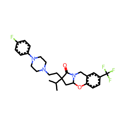 CC(C)C1(CCN2CCN(c3ccc(F)cc3)CC2)CC2Oc3ccc(C(F)(F)F)cc3CN2C1=O